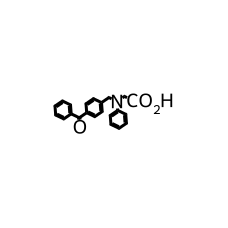 O=C(O)CN(Cc1ccc(C(=O)c2ccccc2)cc1)c1ccccc1